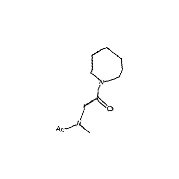 [CH2]C(=O)N(C)CC(=O)N1CCCCC1